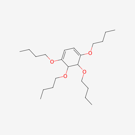 CCCCOC1=CC=C(OCCCC)C(OCCCC)C1OCCCC